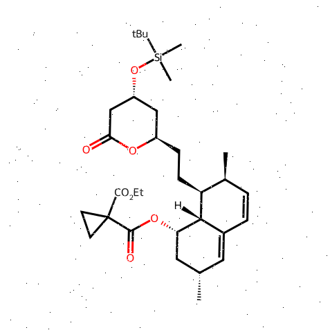 CCOC(=O)C1(C(=O)O[C@H]2C[C@@H](C)C=C3C=C[C@H](C)[C@H](CC[C@@H]4C[C@@H](O[Si](C)(C)C(C)(C)C)CC(=O)O4)[C@H]32)CC1